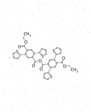 CCOC(=O)c1cc(-c2cccs2)c(C(=O)OC(=O)c2cc(-c3cccs3)c(C(=O)OCC)cc2-c2cccs2)cc1-c1cccs1